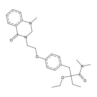 CCOC(CC)(Cc1ccc(OCCN2CN(C)c3ccccc3C2=O)cc1)C(=O)N(C)C